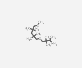 COCC(C)(C)CC(C)(C)COCC(C)(C)C(C)N